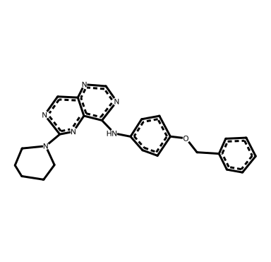 c1ccc(COc2ccc(Nc3ncnc4cnc(N5CCCCC5)nc34)cc2)cc1